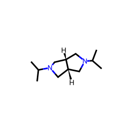 CC(C)N1C[C@H]2CN(C(C)C)C[C@H]2C1